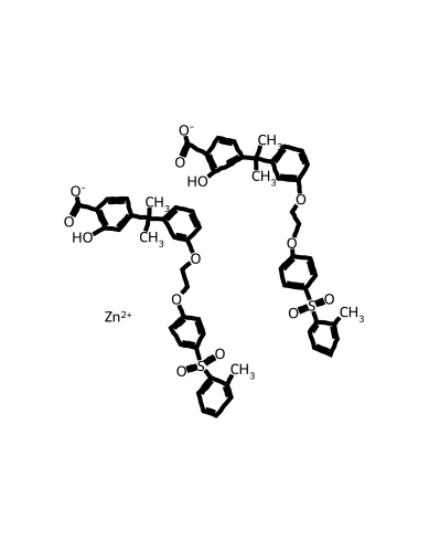 Cc1ccccc1S(=O)(=O)c1ccc(OCCOc2cccc(C(C)(C)c3ccc(C(=O)[O-])c(O)c3)c2)cc1.Cc1ccccc1S(=O)(=O)c1ccc(OCCOc2cccc(C(C)(C)c3ccc(C(=O)[O-])c(O)c3)c2)cc1.[Zn+2]